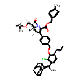 C/C=C/c1ccc(C(OC)=C2C3CC4CC(C3)CC2C4)c(Cl)c1OCc1ccc(C2=C(C(=O)OCc3ccc([N+](=O)[O-])cc3)N3C(=O)[C@H]([C@@H](C)O[Si](C)(C)C(C)(C)C)[C@H]3[C@H]2C)cc1